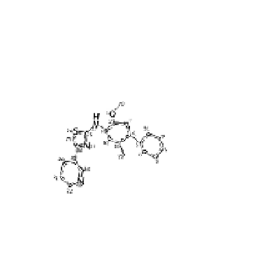 COc1cc(-c2ccccc2)c(C)cc1Nc1nc(-c2cccnc2)cs1